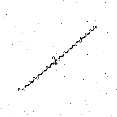 CCSCC/N=C/OOCCSCSCCNC(=O)OCCSCSCC/N=C/OOCSCSCO